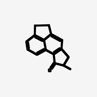 CC1Cc2cc3c4c(cccc4c2C1=O)CC3